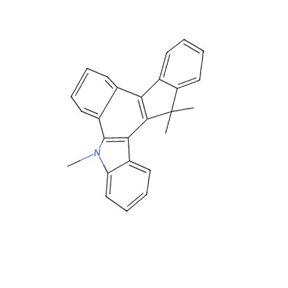 Cn1c2ccccc2c2c3c(c4ccccc4c21)-c1ccccc1C3(C)C